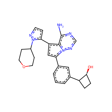 Nc1ncnn2c(-c3cccc([C]4CC[C@@H]4O)c3)cc(-c3ccnn3C3CCOCC3)c12